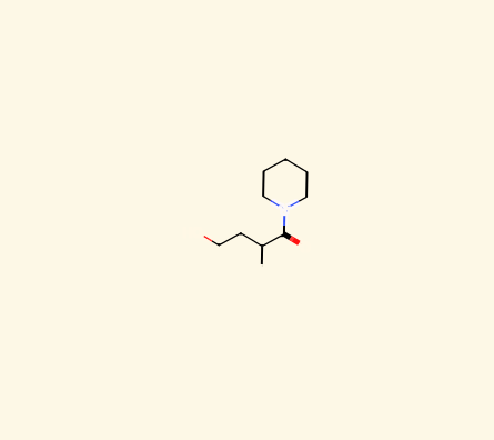 CC(CCO)C(=O)N1CCCCC1